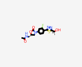 CC(=O)NC[C@H]1CN(c2ccc(-c3nnc([C@@H](C)O)s3)c(F)c2)C(=O)O1